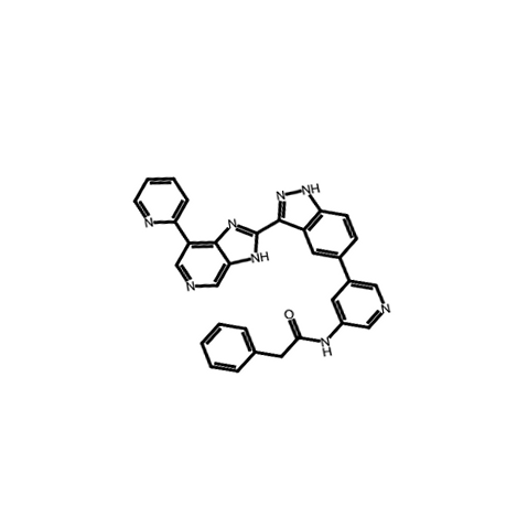 O=C(Cc1ccccc1)Nc1cncc(-c2ccc3[nH]nc(-c4nc5c(-c6ccccn6)cncc5[nH]4)c3c2)c1